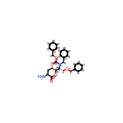 NC1CC[C@@H]([C@@H](COCc2ccccc2)N(Cc2ccccc2)C(=O)OCc2ccccc2)OC1=O